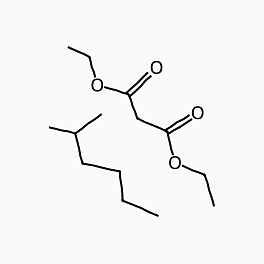 CCCCC(C)C.CCOC(=O)CC(=O)OCC